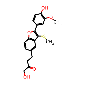 COc1cc(-c2oc3ccc(CCC(=O)CO)cc3c2SC)ccc1O